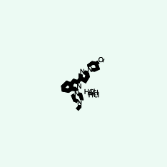 CCN1CCN(c2nc(-c3ccc(N4CCC(OC)CC4)nc3)cc3ccccc23)CC1.Cl.Cl.Cl